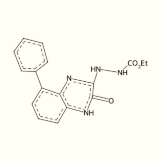 CCOC(=O)NNc1nc2c(-c3ccccc3)cccc2[nH]c1=O